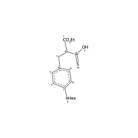 CCCCCCc1ccc(CC(C(=O)OCC)C(O)=S)cc1